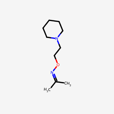 CC(C)=NOCCN1CCCCC1